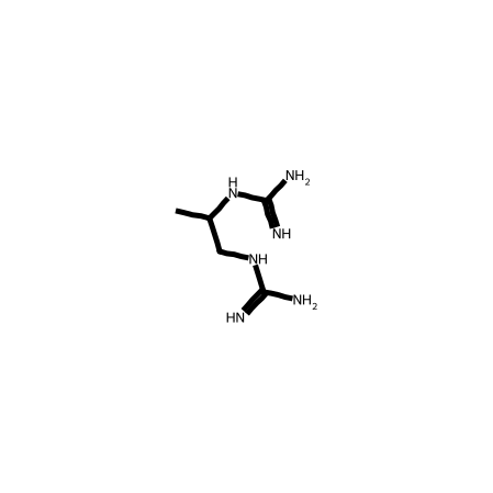 CC(CNC(=N)N)NC(=N)N